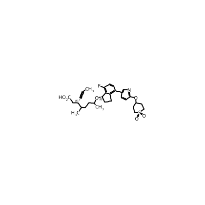 CC#C[C@@H](CC(=O)O)C(C)CCC(C)O[C@@H]1CCc2c(-c3ccc(OC4CCS(=O)(=O)CC4)nc3)ccc(F)c21